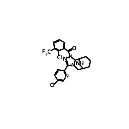 O=C(c1cccc(C(F)(F)F)c1Cl)N1N=C(c2ccc(Cl)cn2)N2CC3CCCC(N3)C21